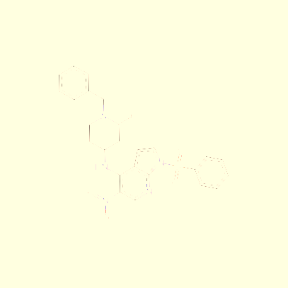 CC1CC(Nc2c([N+](=O)[O-])cnc3c2ccn3S(=O)(=O)c2ccccc2)CCN1Cc1ccccc1